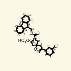 O=C(O)[C@@H]1C[C@]2(CC(c3cccc(Cl)c3)=NO2)CN1C(=O)OCC1c2ccccc2-c2ccccc21